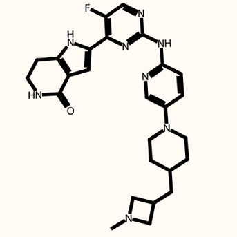 CN1CC(CC2CCN(c3ccc(Nc4ncc(F)c(-c5cc6c([nH]5)CCNC6=O)n4)nc3)CC2)C1